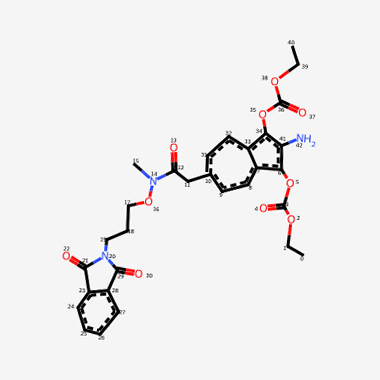 CCOC(=O)Oc1c2ccc(CC(=O)N(C)OCCCN3C(=O)c4ccccc4C3=O)ccc-2c(OC(=O)OCC)c1N